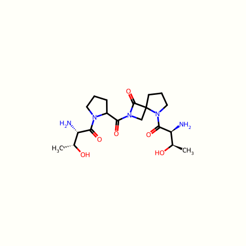 C[C@@H](O)[C@H](N)C(=O)N1CCCC1C(=O)N1CC2(CCCN2C(=O)[C@@H](N)[C@@H](C)O)C1=O